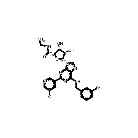 CCNC(=O)[C@H]1O[C@@H](n2cnc3c(NCc4cccc(Br)c4)nc(-c4cncc(Cl)c4)nc32)[C@H](O)[C@@H]1O